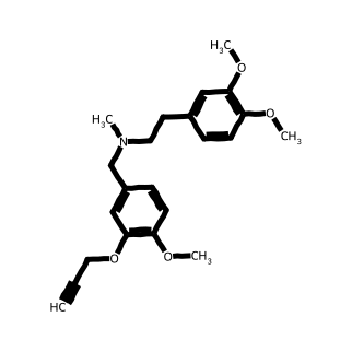 C#CCOc1cc(CN(C)CCc2ccc(OC)c(OC)c2)ccc1OC